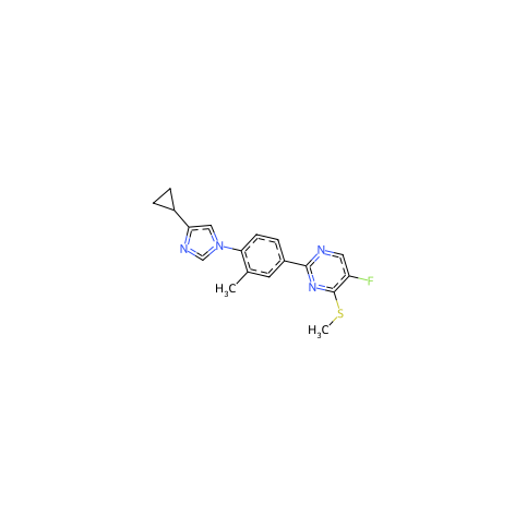 CSc1nc(-c2ccc(-n3cnc(C4CC4)c3)c(C)c2)ncc1F